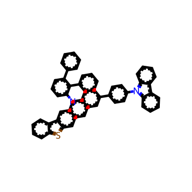 c1ccc(-c2ccccc2-c2c(-c3ccccc3)cccc2N(c2ccc(-c3ccc(-n4c5ccccc5c5ccccc54)cc3)cc2)c2ccc3sc4ccccc4c3c2)cc1